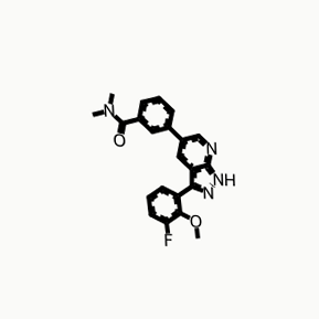 COc1c(F)cccc1-c1n[nH]c2ncc(-c3cccc(C(=O)N(C)C)c3)cc12